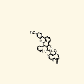 C[C@H](Nc1ncnc2[nH]ccc(=O)c12)c1c(Cl)c2cccc(-c3ccc(C#N)cc3)c2c(=O)n1-c1ccccc1